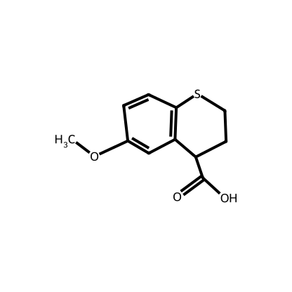 COc1ccc2c(c1)C(C(=O)O)CCS2